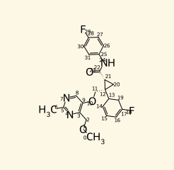 COCc1nc(C)ncc1OC[C@@]1(C2C=CC=C(F)C2)C[C@H]1C(=O)Nc1ccc(F)cc1